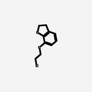 ClCCOc1cccc2c1OCC2